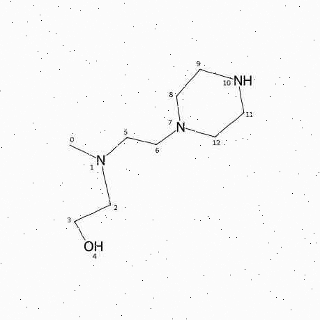 CN(CCO)CCN1CCNCC1